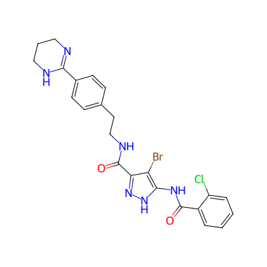 O=C(Nc1[nH]nc(C(=O)NCCc2ccc(C3=NCCCN3)cc2)c1Br)c1ccccc1Cl